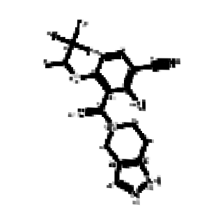 CC(Oc1ccc(C#N)c(Cl)c1C(=O)N1CCc2[nH]ncc2C1)C(F)(F)F